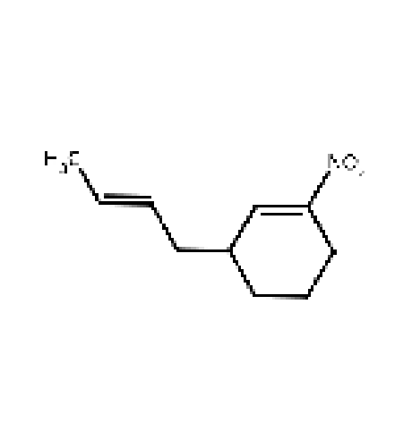 CC=CCC1C=C([N+](=O)[O-])CCC1